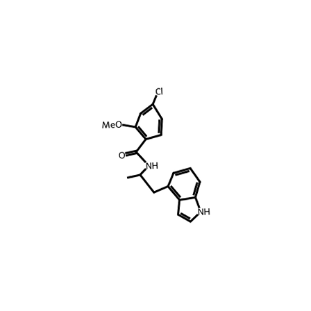 COc1cc(Cl)ccc1C(=O)NC(C)Cc1cccc2[nH]ccc12